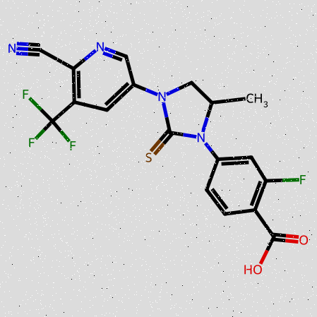 CC1CN(c2cnc(C#N)c(C(F)(F)F)c2)C(=S)N1c1ccc(C(=O)O)c(F)c1